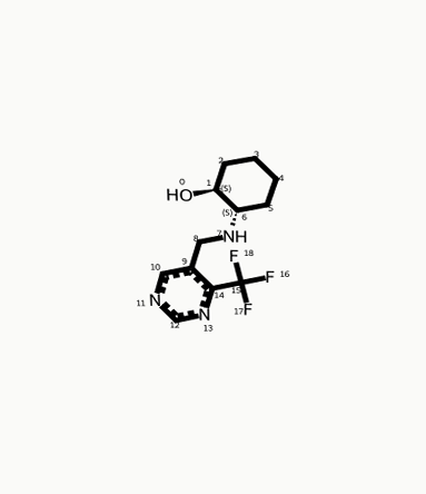 O[C@H]1CCCC[C@@H]1NCc1cncnc1C(F)(F)F